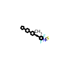 CC1=C(C#Cc2cc(F)c(N=C=S)c(F)c2)CCC(C2CCC(C3CCCC3)CC2)C1